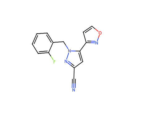 N#Cc1cc(-c2ccon2)n(Cc2ccccc2F)n1